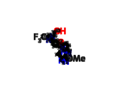 COc1ncnc(C2CC2)c1-c1ncc2ccc(=O)n(Cc3ccc(-c4nc(C(F)(F)F)cn4CCO)cc3)c2n1